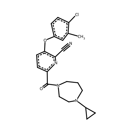 Cc1cc(Oc2ccc(C(=O)N3CCCN(C4CC4)CC3)nc2C#N)ccc1Cl